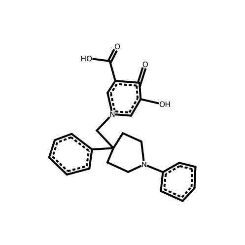 O=C(O)c1cn(CC2(c3ccccc3)CCN(c3ccccc3)CC2)cc(O)c1=O